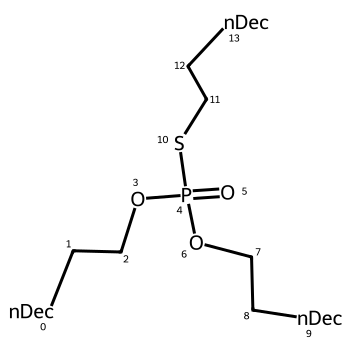 CCCCCCCCCCCCOP(=O)(OCCCCCCCCCCCC)SCCCCCCCCCCCC